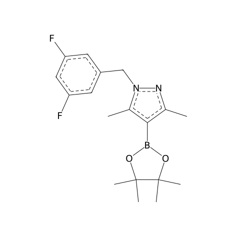 Cc1nn(Cc2cc(F)cc(F)c2)c(C)c1B1OC(C)(C)C(C)(C)O1